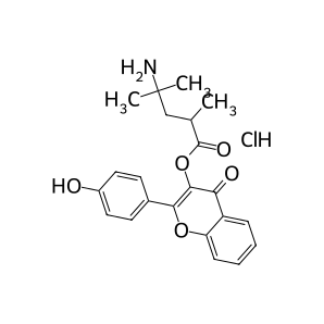 CC(CC(C)(C)N)C(=O)Oc1c(-c2ccc(O)cc2)oc2ccccc2c1=O.Cl